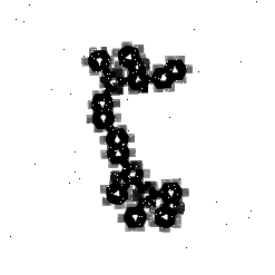 c1ccc(-c2nc(-c3ccc4ccc(-c5ccc6cc(-c7ncc(-c8nc(-c9ccccc9)nc(-c9cccc%10oc%11ccccc%11c9%10)n8)c8c7oc7ccccc78)ccc6c5)cc4c3)nc(-c3cnc(-c4ccc5ccccc5c4)c4oc5ccccc5c34)n2)cc1